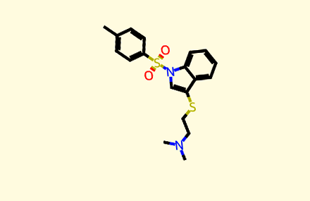 Cc1ccc(S(=O)(=O)n2cc(SCCN(C)C)c3ccccc32)cc1